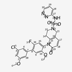 COc1cc(Cl)cc(-c2cc(OC)c(-n3c4c(ccc3=O)CN(S(=O)(=O)Nc3cccnn3)CC4)cc2F)c1